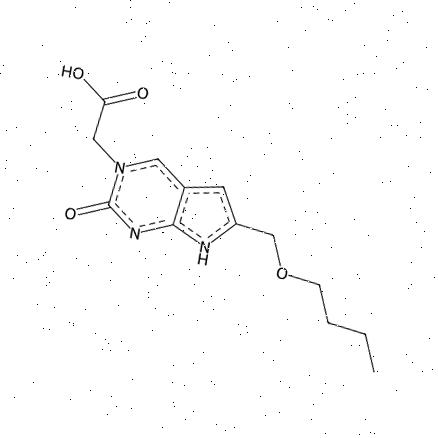 CCCCOCc1cc2cn(CC(=O)O)c(=O)nc2[nH]1